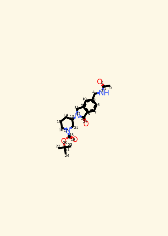 CC(=O)NCc1ccc2c(c1)CN(C1CCCN(C(=O)OC(C)(C)C)C1)C2=O